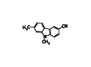 Cc1ccc2c3cc(C#N)ccc3n(C)c2c1